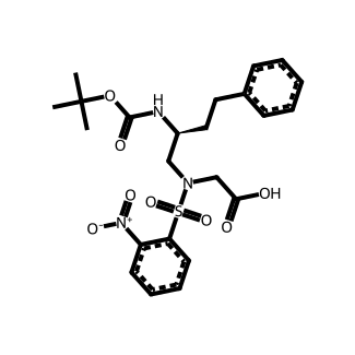 CC(C)(C)OC(=O)N[C@@H](CCc1ccccc1)CN(CC(=O)O)S(=O)(=O)c1ccccc1[N+](=O)[O-]